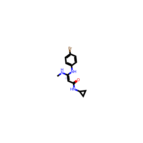 CN/C(=C/C(=O)NC1CC1)Nc1ccc(Br)cc1